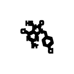 CC(C)c1nc(Cl)c2c(n1)n(Cc1ccc(Cl)cc1)c(=O)n2S